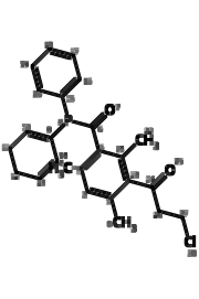 Cc1cc(C)c(C(=O)P(C2=CCCC=C2)c2ccccc2)c(C)c1C(=O)CCCl